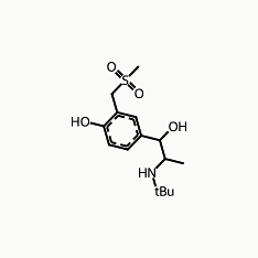 CC(NC(C)(C)C)C(O)c1ccc(O)c(CS(C)(=O)=O)c1